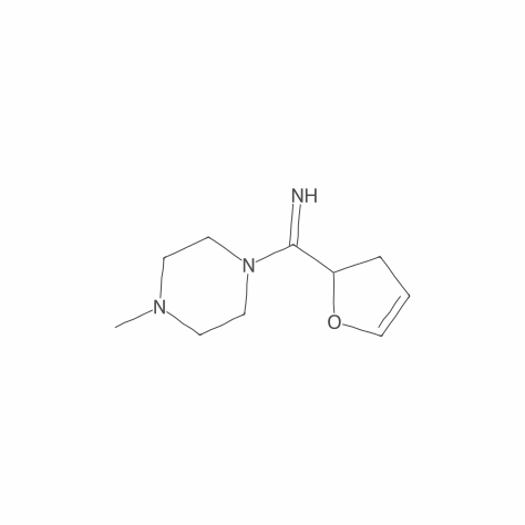 CN1CCN(C(=N)C2CC=CO2)CC1